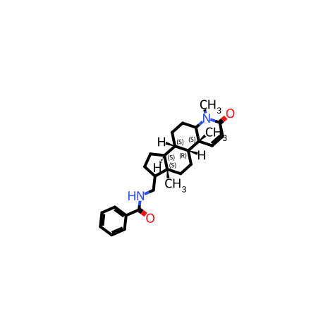 CN1C(=O)C=C[C@@]2(C)C1CC[C@@H]1[C@H]2CC[C@]2(C)C(CNC(=O)c3ccccc3)CC[C@@H]12